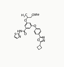 COCC(C)Oc1cc(Oc2ccc(-c3nnc(C4CCC4)o3)cc2)cc(C(=O)Nc2nccs2)c1